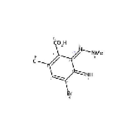 CN/N=C1\C(=N)C(Br)=CC(Cl)=C1C(=O)O